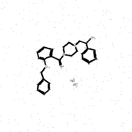 CC(CN1CCN(C(=N)c2ccccc2OCc2ccccc2)CC1)c1ccccc1.Cl.Cl